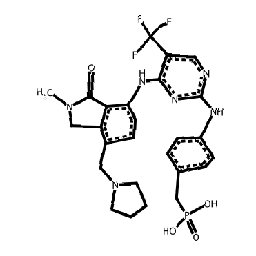 CN1Cc2c(CN3CCCC3)ccc(Nc3nc(Nc4ccc(CP(=O)(O)O)cc4)ncc3C(F)(F)F)c2C1=O